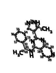 Cc1[nH]ncc1-c1nc(N[C@H](C)c2ccccc2)c2ccncc2n1